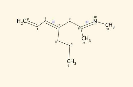 C=C/C=C(\CCC)C/C(C)=N/C